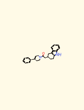 O=C(CC1CCc2[nH]c3ccccc3c2C1)N1CC=C(c2ccccc2)CC1